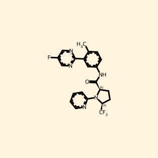 Cc1ccc(NC(=O)[C@H]2CC[C@@H](C(F)(F)F)N2c2ccccn2)cc1-c1ncc(F)cn1